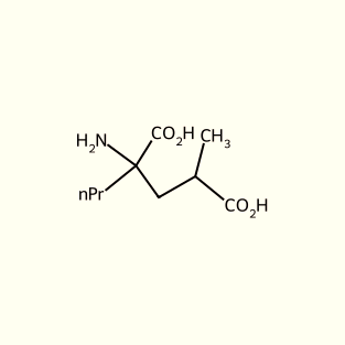 CCCC(N)(CC(C)C(=O)O)C(=O)O